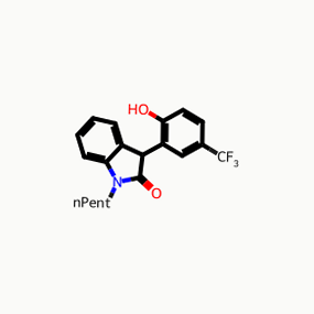 CCCCCN1C(=O)C(c2cc(C(F)(F)F)ccc2O)c2ccccc21